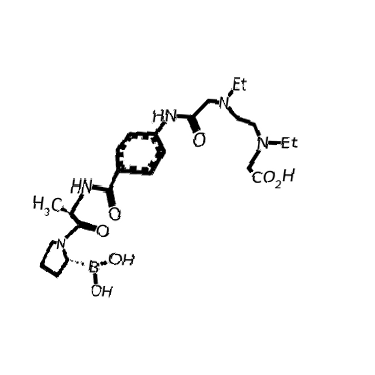 CCN(CCN(CC)CC(=O)Nc1ccc(C(=O)N[C@H](C)C(=O)N2CCC[C@H]2B(O)O)cc1)CC(=O)O